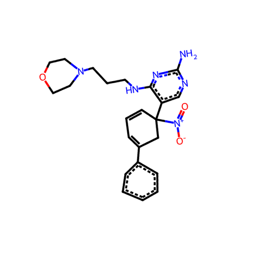 Nc1ncc(C2([N+](=O)[O-])C=CC=C(c3ccccc3)C2)c(NCCCN2CCOCC2)n1